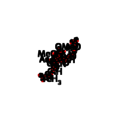 COc1ccc(C(OC[C@H]2O[C@@H](n3cnc4c(=O)[nH]c(NC(=O)CCNC(=O)c5ccc(CNC(=O)OCC6c7ccccc7-c7ccccc76)cc5)nc43)CC2OP(=O)(OCCC#N)OC[C@H]2O[C@@H](n3ccc(NC(=O)CCCN(C)C(=O)OCC4c5ccccc5-c5ccccc54)nc3=O)CC2OC(=O)CCC(C)=O)(c2ccccc2)c2ccc(OC)cc2)cc1